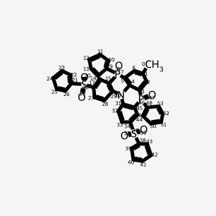 Cc1cc2c3c(c1)P(=O)(c1ccccc1)c1cc(S(=O)(=O)c4ccccc4)ccc1N3c1ccc(S(=O)(=O)c3ccccc3)cc1P2(=O)c1ccccc1